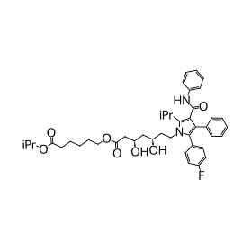 [CH2]C([CH2])OC(=O)CCCCCOC(=O)C[C@H](O)C[C@H](O)CCn1c(-c2ccc(F)cc2)c(-c2ccccc2)c(C(=O)Nc2ccccc2)c1C(C)C